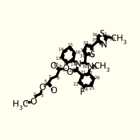 COCCOC(=O)CCC(=O)Oc1ccccc1N1C(=O)c2cc(F)ccc2N(C)C1c1ccc(-c2csc(C)n2)s1